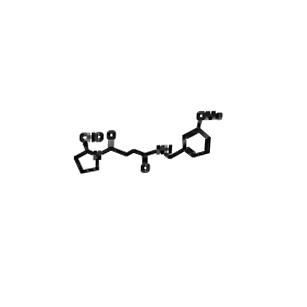 COc1cccc(CNC(=O)CCC(=O)N2CCC[C@H]2C=O)c1